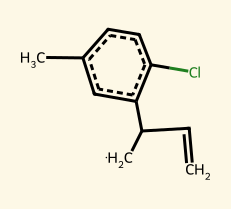 [CH2]C(C=C)c1cc(C)ccc1Cl